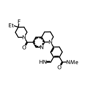 CCC1(F)CCN(C(=O)c2cnc3c(c2)CCCN3C2=CC(C=N)=C(C(=O)NC)CC2)CC1